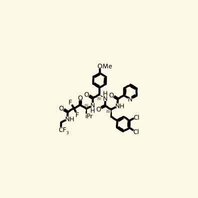 COc1ccc([C@H](NC(=O)[C@H](Cc2ccc(Cl)c(Cl)c2)NC(=O)c2ccccn2)C(=O)N[C@H](C(=O)C(F)(F)C(=O)NCC(F)(F)F)C(C)C)cc1